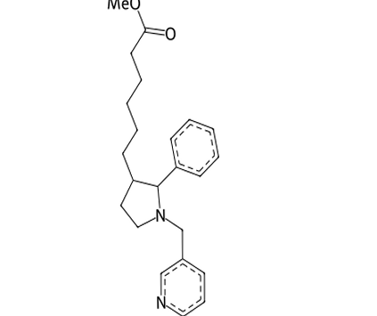 COC(=O)CCCCCC1CCN(Cc2cccnc2)C1c1ccccc1